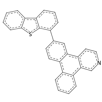 c1ccc2c(c1)sc1c(-c3ccc4c5ccccc5c5cnccc5c4c3)cccc12